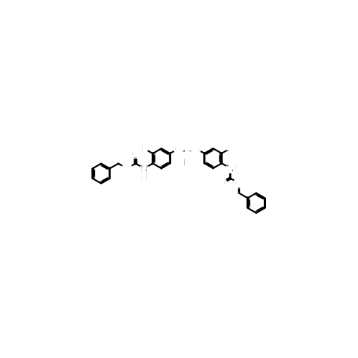 O=C(Nc1ccc(OBOc2ccc(NC(=O)OCc3ccccc3)c(F)c2)cc1F)OCc1ccccc1